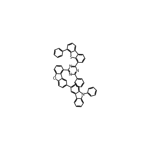 c1ccc(-c2nc(-c3cccc4c3sc3c(-c5ccccc5)cccc34)nc(-c3cccc4oc5ccc(-c6ccc7c(c6)c6ccccc6n7-c6ccccc6)cc5c34)n2)cc1